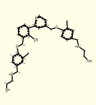 Cc1cc(CNCCO)ccc1OCc1ccnc(-c2cccc(COc3ccc(CNCCO)cc3C)c2C#N)c1